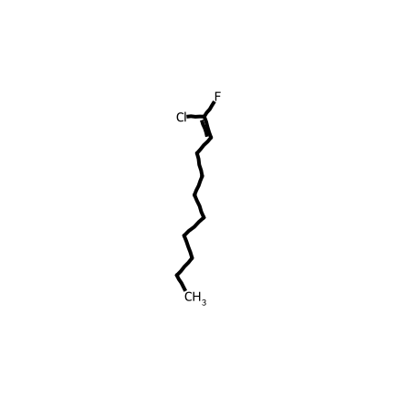 CCCCCCCCC=C(F)Cl